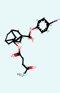 O=C(CCC(=O)C(=O)O)OC12CC3CC(C1)CC(C(=O)Oc1ccc(I)cc1)(C3)C2